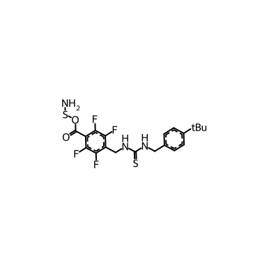 CC(C)(C)c1ccc(CNC(=S)NCc2c(F)c(F)c(C(=O)OSN)c(F)c2F)cc1